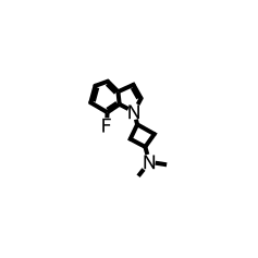 CN(C)C1CC(n2ccc3cccc(F)c32)C1